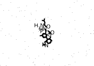 COC(=O)C[C@H](NC(=O)[C@@H](N)CC(C)C)c1cc(-c2c(C)ccc3nn(C)cc23)cc(C)c1F